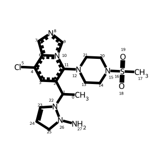 CC(c1cc(Cl)c2cncn2c1N1CCN(S(C)(=O)=O)CC1)N1C=CCN1N